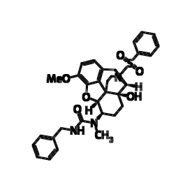 COc1ccc2c3c1O[C@H]1[C@H](N(C)C(=O)NCc4ccccc4)CC[C@@]4(O)[C@@H](C2)N(S(=O)(=O)c2ccccc2)CCC314